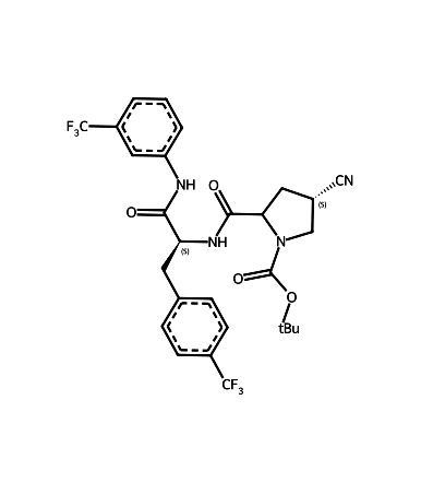 CC(C)(C)OC(=O)N1C[C@@H](C#N)CC1C(=O)N[C@@H](Cc1ccc(C(F)(F)F)cc1)C(=O)Nc1cccc(C(F)(F)F)c1